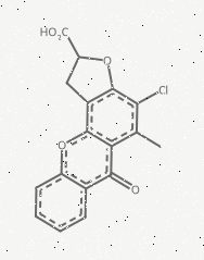 Cc1c(Cl)c2c(c3oc4ccccc4c(=O)c13)CC(C(=O)O)O2